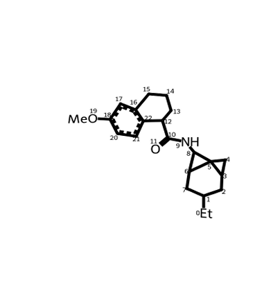 CCC1CC2CC23C(C1)C3NC(=O)C1CCCc2cc(OC)ccc21